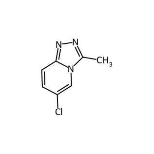 Cc1nnc2ccc(Cl)cn12